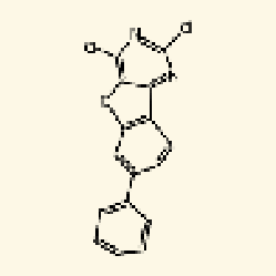 Clc1nc(Cl)c2oc3cc(-c4ccccc4)ccc3c2n1